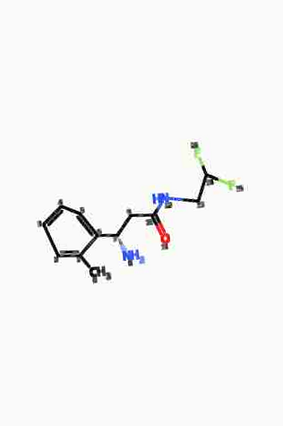 Cc1ccccc1[C@@H](N)CC(=O)NCC(F)F